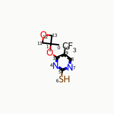 CC1(Oc2nc(S)ncc2C(F)(F)F)COC1